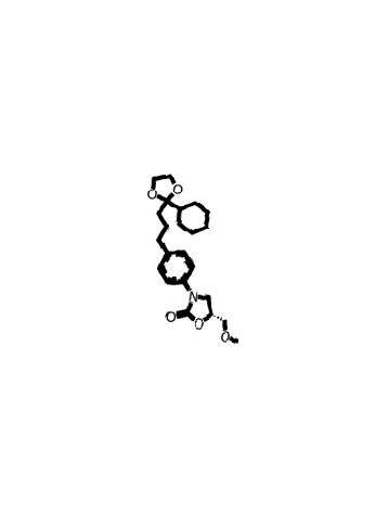 COC[C@H]1CN(c2ccc(CCCC3(C4CCCCC4)OCCO3)cc2)C(=O)O1